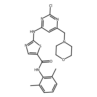 Cc1cccc(C)c1NC(=O)c1cnc(Nc2cc(CN3CCOCC3)nc(Cl)n2)s1